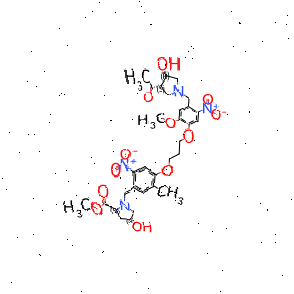 COC(=O)[C@@H]1C[C@@H](O)CN1Cc1cc(C)c(OCCCOc2cc([N+](=O)[O-])c(CN3C[C@H](C(C)=O)[C@@H](O)C3)cc2OC)cc1[N+](=O)[O-]